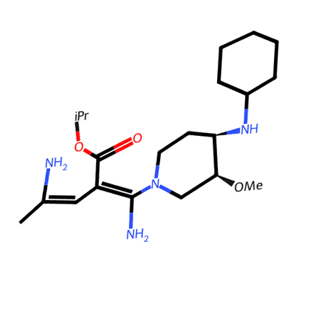 CO[C@H]1CN(/C(N)=C(/C=C(/C)N)C(=O)OC(C)C)CC[C@H]1NC1CCCCC1